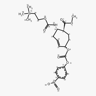 COC(=O)[C@H]1CC[C@@H](OC(=O)Oc2ccc([N+](=O)[O-])cc2)/C=C/C[C@@H]1NC(=O)OCC[Si](C)(C)C